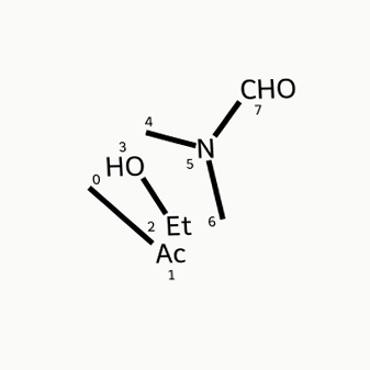 CC(C)=O.CCO.CN(C)C=O